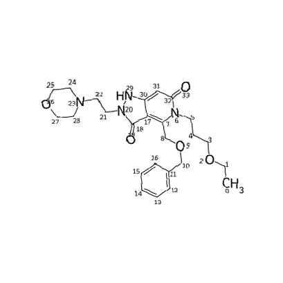 CCOCCCn1c(COCc2ccccc2)c2c(=O)n(CCN3CCOCC3)[nH]c2cc1=O